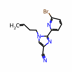 C=CCCn1cc(C#N)nc1-c1cccc(Br)n1